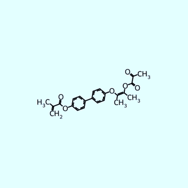 C=C(C)C(=O)Oc1ccc(-c2ccc(O/C(C)=C(/C)OC(=O)C(C)=O)cc2)cc1